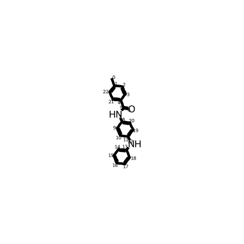 Cc1ccc(C(=O)Nc2ccc(Nc3ccccc3)cc2)cc1